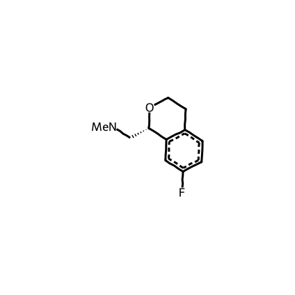 CNC[C@@H]1OCCc2ccc(F)cc21